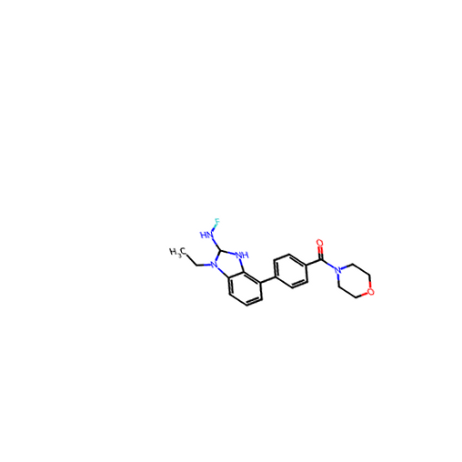 CCN1c2cccc(-c3ccc(C(=O)N4CCOCC4)cc3)c2NC1NF